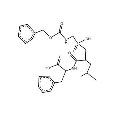 CC(C)CC(CP(=O)(O)CNC(=O)OCc1ccccc1)C(=O)NC(Cc1ccccc1)C(=O)O